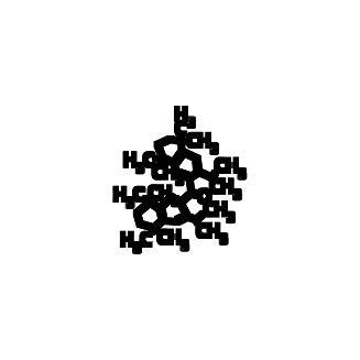 CC(C)c1cc2c(cc1C(=O)c1cc3c(cc1C(C)C)C(C)(C)CCC3(C)C)C(C)(C)CCC2(C)C